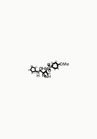 COc1ccc(S(=O)(=O)Nc2c[nH]nc2C(=O)NC2CCCC2)cc1